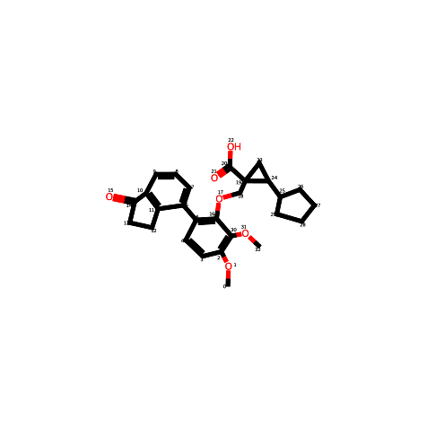 COc1ccc(-c2cccc3c2CCC3=O)c(OCC2(C(=O)O)CC2C2CCCC2)c1OC